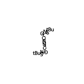 CC(C)(C)c1nc(C(=O)c2ccc(N3CCN(c4ccc(C(=O)c5csc(C(C)(C)C)n5)cc4)CC3)cc2)cs1